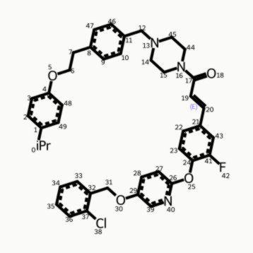 CC(C)c1ccc(OCCc2ccc(CN3CCN(C(=O)/C=C/c4ccc(Oc5ccc(OCc6ccccc6Cl)cn5)c(F)c4)CC3)cc2)cc1